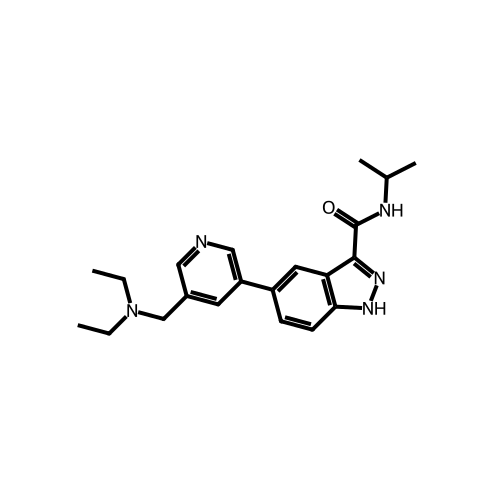 CCN(CC)Cc1cncc(-c2ccc3[nH]nc(C(=O)NC(C)C)c3c2)c1